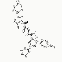 CCN1CCN(c2ccc(C)c(NC(=O)OSN3CCc4c(-c5cnc(N)nc5)nc(N5CCOCC5)nc43)c2)CC1